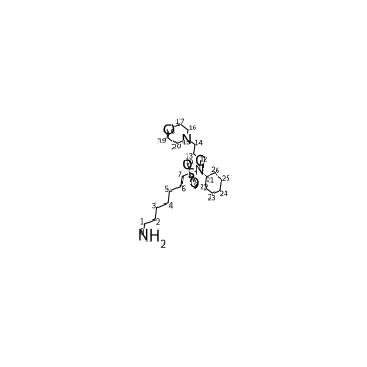 NCCCCCCCS(=O)(=O)N(OCCN1CCOCC1)C1CCCCC1